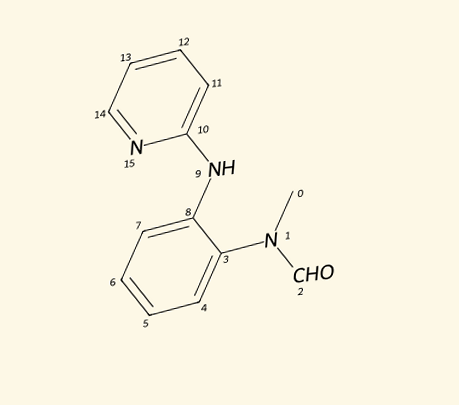 CN(C=O)c1ccccc1Nc1ccccn1